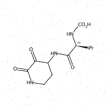 CC(C)[C@H](NC(=O)O)C(=O)NC1CCNC(=O)C1=O